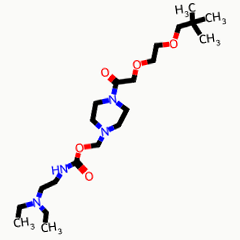 CCN(CC)CCNC(=O)OCN1CCN(C(=O)COCCOCC(C)(C)C)CC1